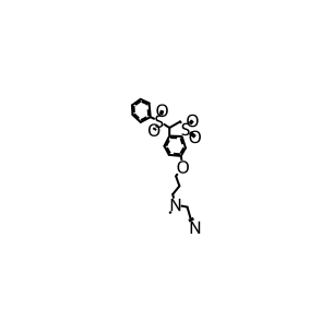 CN(CC#N)CCCOc1ccc2c(c1)S(=O)(=O)CC2S(=O)(=O)c1ccccc1